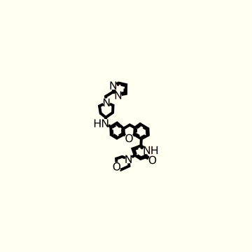 O=c1cc(N2CCOCC2)cc(-c2cccc3c2Oc2ccc(NC4CCN(Cc5ncccn5)CC4)cc2C3)[nH]1